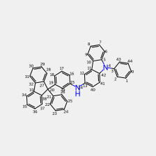 c1ccc(-n2c3ccccc3c3cc(Nc4cccc(C5(c6ccccc6)c6ccccc6-c6ccccc65)c4)ccc32)cc1